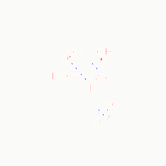 O=C(O)CN(CCN(CCCCCCCN1C(=O)C=CC1=O)CCN(CC(=O)O)CC(=O)O)CC(=O)O